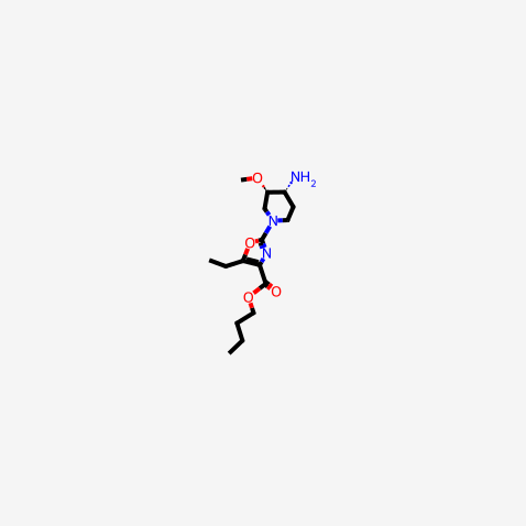 CCCCOC(=O)c1nc(N2CC[C@@H](N)[C@@H](OC)C2)oc1CC